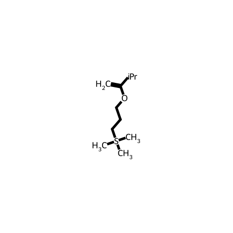 C=C(OCCCS(C)(C)C)C(C)C